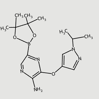 CC(C)n1cc(Oc2nc(B3OC(C)(C)C(C)(C)O3)cnc2N)cn1